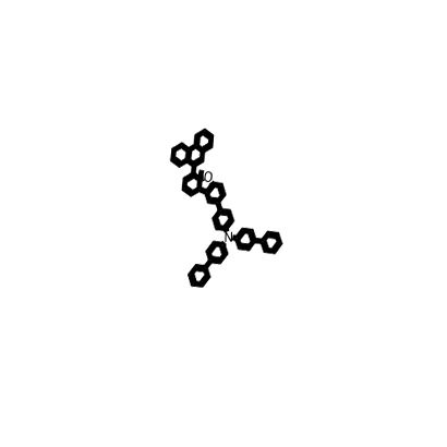 CC12Oc3ccc(-c4ccc(N(c5ccc(-c6ccccc6)cc5)c5ccc(-c6ccccc6)cc5)cc4)cc3C1C=CC=C2c1cc2ccccc2c2c1C=CCC2